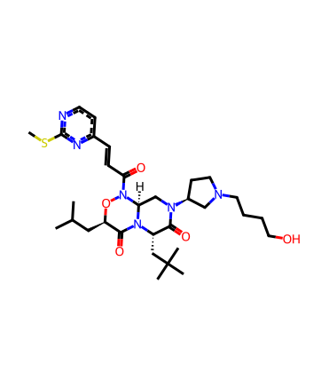 CSc1nccc(/C=C/C(=O)N2O[C@H](CC(C)C)C(=O)N3[C@@H]2CN([C@H]2CCN(CCCCO)C2)C(=O)[C@@H]3CC(C)(C)C)n1